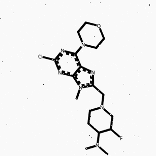 CN(C)C1CCN(Cc2nc3c(N4CCOCC4)nc(Cl)nc3n2C)CC1F